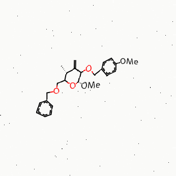 C=C1C(OCc2ccc(OC)cc2)[C@H](OC)OC(COCc2ccccc2)[C@@H]1C